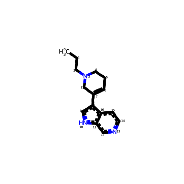 CCCN1CCC=C(c2c[nH]c3cnccc23)C1